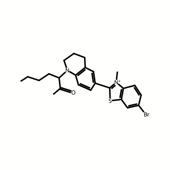 CCCCC(C(C)=O)N1CCCc2cc(-c3sc4cc(Br)ccc4[n+]3C)ccc21